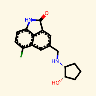 O=C1Nc2ccc(F)c3cc(CN[C@@H]4CCC[C@@H]4O)cc1c23